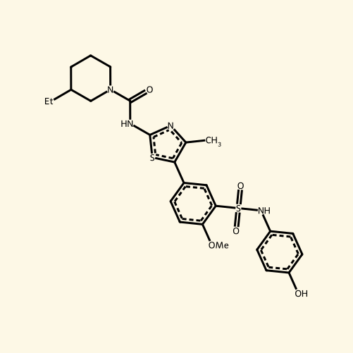 CCC1CCCN(C(=O)Nc2nc(C)c(-c3ccc(OC)c(S(=O)(=O)Nc4ccc(O)cc4)c3)s2)C1